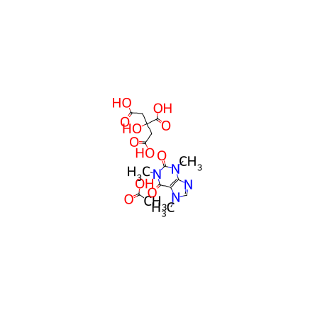 CC(=O)O.Cn1c(=O)c2c(ncn2C)n(C)c1=O.O=C(O)CC(O)(CC(=O)O)C(=O)O